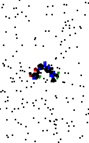 COc1cc([C@@H](C)C(=O)N2CC[C@H](Nc3ccc(-c4nc(C(F)F)n(C5CC5)n4)c(C)n3)C2)c(F)cn1